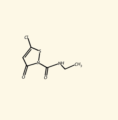 CCNC(=O)n1sc(Cl)cc1=O